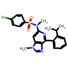 CC(C)c1ccccc1-c1nc(N(C)S(=O)(=O)c2ccc(Br)cc2)cc2c1ncn2C